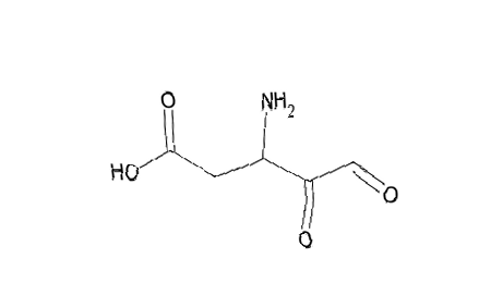 NC(CC(=O)O)C(=O)C=O